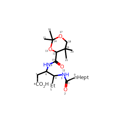 CCCCCCCC(=O)NC(CC)C(CC(=O)O)NC(=O)C1OC(C)(C)OCC1(C)C